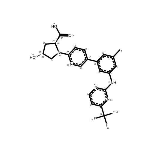 Cc1cc(Nc2nccc(C(F)(F)F)n2)cc(-c2ccc(N3C[C@H](O)C[C@H]3C(=O)O)nc2)c1